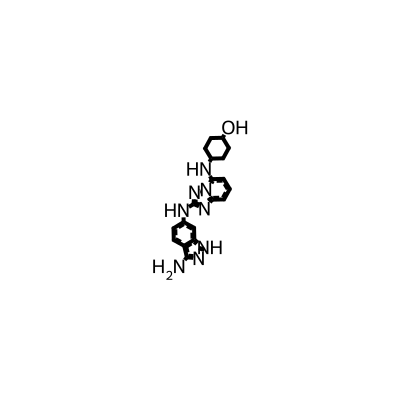 Nc1n[nH]c2cc(Nc3nc4cccc(NC5CCC(O)CC5)n4n3)ccc12